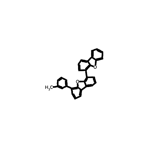 Cc1cccc(-c2cccc3c2oc2c(-c4cccc5c4oc4ccccc45)cccc23)c1